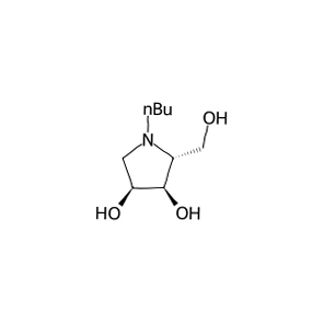 CCCCN1C[C@H](O)[C@H](O)[C@H]1CO